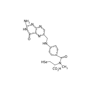 CN(C(=O)c1ccc(NCc2cnc3nc(N)[nH]c(=O)c3n2)cc1)[C@@H](C[SeH])C(=O)O